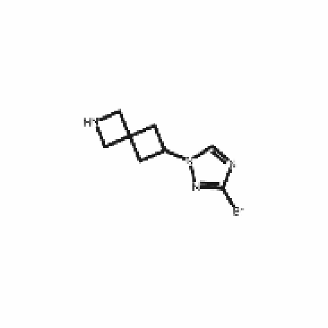 Brc1ncn(C2CC3(CNC3)C2)n1